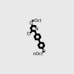 CCCCCCCCOc1ccc(-c2ccc(-c3ncc(OCCCCCCCC)cc3Cl)cc2)cc1